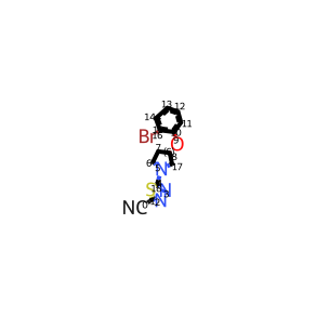 N#Cc1nnc(N2CC[C@H](Oc3ccccc3Br)C2)s1